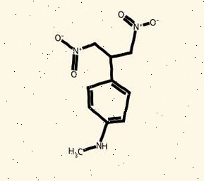 CNc1ccc(C(C[N+](=O)[O-])C[N+](=O)[O-])cc1